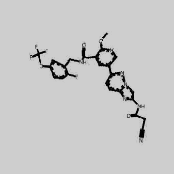 COc1ncc(-c2ccc3nc(NC(=O)CC#N)cn3n2)cc1C(=O)NCc1cc(OC(F)(F)F)ccc1F